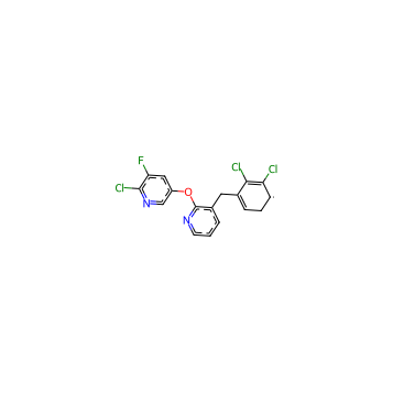 Fc1cc(Oc2ncccc2CC2=CC[CH]C(Cl)=C2Cl)cnc1Cl